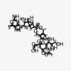 CC(=O)N[C@H]1[C@H]([C@H](O)[C@H](O)CO)O[C@](Oc2[nH]cc3c2COP(=O)(C2CC4(C2)SC(n2cnc5c(=S)oc(N)nc52)C(O)C4(C)O)OC3)(C2OC2O)C[C@@H]1O